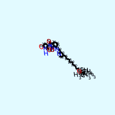 CC(C)(C)[Si](C)(C)OCCCCCCCCCc1ccnc(CNc2cccc3c2C(=O)N(C2CCC(=O)NC2=O)C3=O)c1